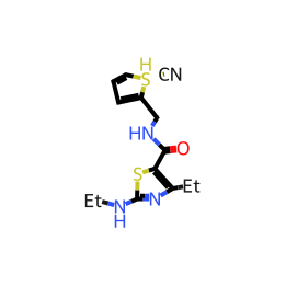 CCNc1nc(CC)c(C(=O)NCC2=CC=C[SH]2C#N)s1